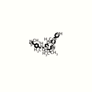 Cc1ncsc1-c1ccc([C@H](C)NC(=O)[C@@H]2C[C@@H](O)CN2C(=O)[C@@H](c2cc(N3CCN(CC4(F)CCNCC4)[C@H](C)C3)no2)C(C)C)cc1